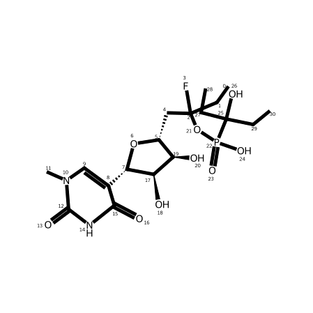 CCC(F)(C[C@H]1O[C@@H](c2cn(C)c(=O)[nH]c2=O)[C@H](O)[C@@H]1O)OP(=O)(O)C(O)(CC)CC